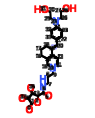 O=C1OC(C(=O)NCCC[n+]2ccc3c(c2)CCC/C3=C\c2ccc(N(CCO)CCO)cc2)C(=O)C1=O